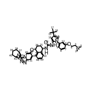 CN(C)CCOc1cccc(-n2nc(C(C)(C)C)cc2NC(=O)N[C@H]2CC[C@@H](Oc3ccc4nnc(N5C6CCCC5CC6)n4c3)c3ccccc32)c1